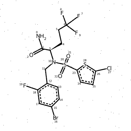 NC(=O)[C@@H](CCC(F)(F)F)N(Cc1ccc(Br)cc1F)S(=O)(=O)c1ccc(Cl)s1